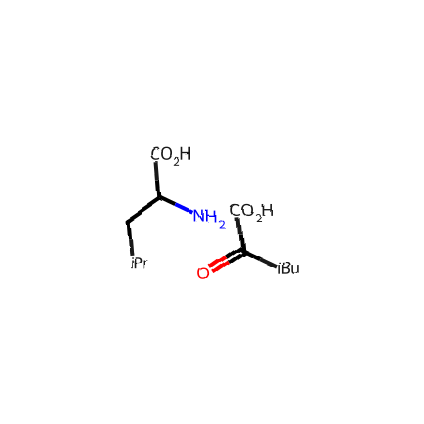 CC(C)CC(N)C(=O)O.CCC(C)C(=O)C(=O)O